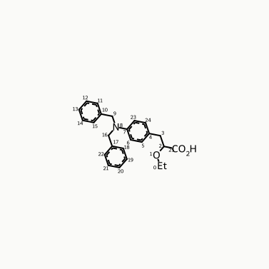 CCOC(Cc1ccc(N(Cc2ccccc2)Cc2ccccc2)cc1)C(=O)O